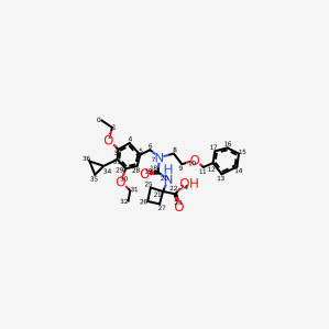 CCOc1cc(CN(CCOCc2ccccc2)C(=O)NC2(C(=O)O)CCC2)cc(OCC)c1C1CC1